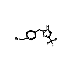 FC(F)(F)c1c[nH]c(Cc2ccc(CBr)cc2)n1